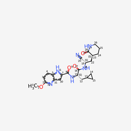 COc1ccc2[nH]c(C(=O)N[C@@H](CC3CC3)C(=O)N[C@H](C#N)C[C@@H]3CCCNC3=O)cc2n1